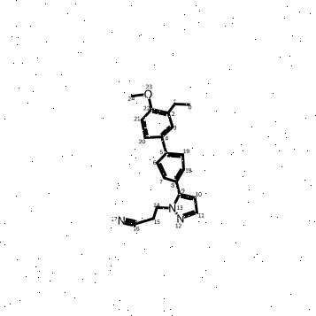 CCc1cc(-c2ccc(-c3ccnn3CCC#N)cc2)ccc1OC